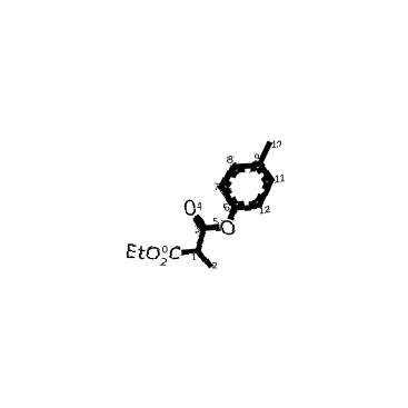 CCOC(=O)C(C)C(=O)Oc1ccc(C)cc1